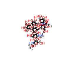 CC(=O)N[C@H]1[C@H](O[C@H]2[C@H](O)[C@@H](NC(C)=O)C(O)O[C@@H]2CO)O[C@H](CO)[C@@H](O[C@@H]2O[C@H](CO[C@H]3O[C@H](CO)[C@@H](O)[C@H](O)[C@@H]3O[C@@H]3O[C@H](CO)[C@@H](O)[C@H](O)[C@H]3NC(C)=O)[C@@H](O)[C@H](O[C@H]3O[C@H](CO)[C@@H](O)[C@H](O)[C@@H]3O)[C@@H]2O[C@@H]2OC[C@@H](O)[C@H](O)[C@H]2O)[C@@H]1O